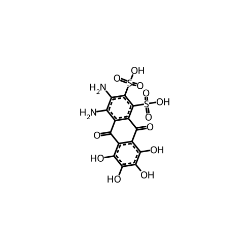 Nc1c(N)c(S(=O)(=O)O)c(S(=O)(=O)O)c2c1C(=O)c1c(O)c(O)c(O)c(O)c1C2=O